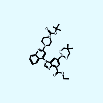 CCOC(=O)c1cc(B2OCC(C)(C)CO2)cc2c1ncn2-c1cc(N2CCN(C(=O)OC(C)(C)C)CC2)nc2ccccc12